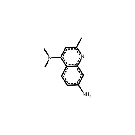 Cc1cc(N(C)C)c2ccc(N)cc2n1